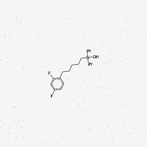 CC(C)[Si](O)(CCCCCc1ccc(F)cc1F)C(C)C